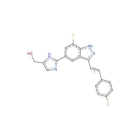 OCc1cnc(-c2cc(F)c3[nH]nc(/C=C/c4ccc(F)cc4)c3c2)[nH]1